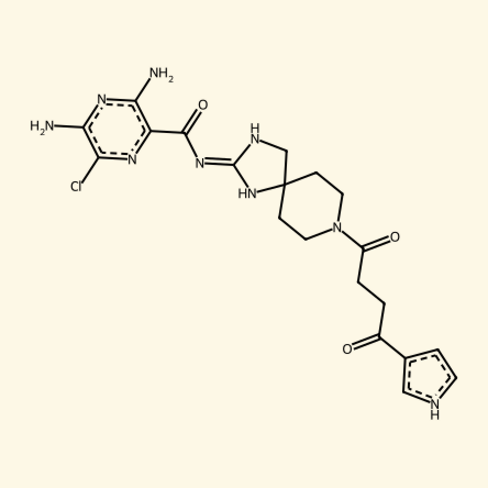 Nc1nc(N)c(C(=O)/N=C2\NCC3(CCN(C(=O)CCC(=O)c4cc[nH]c4)CC3)N2)nc1Cl